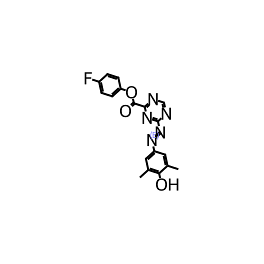 Cc1cc(/N=N/c2ncnc(C(=O)Oc3ccc(F)cc3)n2)cc(C)c1O